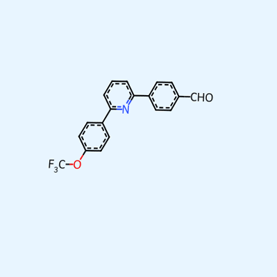 O=Cc1ccc(-c2cccc(-c3ccc(OC(F)(F)F)cc3)n2)cc1